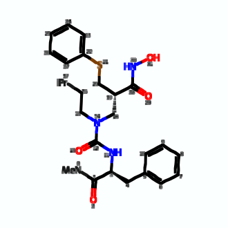 CNC(=O)[C@H](Cc1ccccc1)NC(=O)N(CCC(C)C)C[C@H](CSc1ccccc1)C(=O)NO